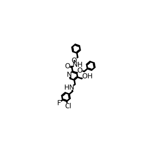 O=C(NOCc1ccccc1)c1ncc(CNCc2ccc(F)c(Cl)c2)c(CO)c1OCc1ccccc1